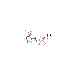 CCOC(=O)C(F)(F)/C=C/c1ccccc1OC